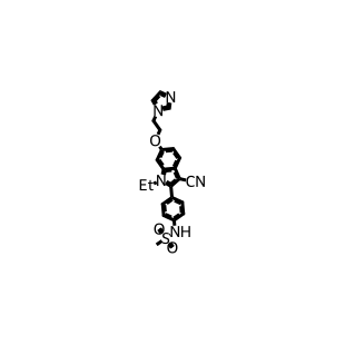 CCn1c(-c2ccc(NS(C)(=O)=O)cc2)c(C#N)c2ccc(OCCn3ccnc3)cc21